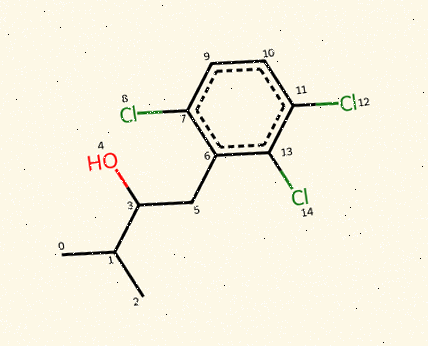 CC(C)C(O)Cc1c(Cl)ccc(Cl)c1Cl